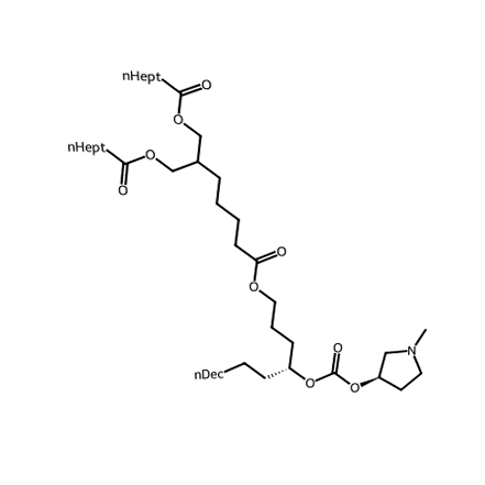 CCCCCCCCCCCC[C@H](CCCOC(=O)CCCCC(COC(=O)CCCCCCC)COC(=O)CCCCCCC)OC(=O)O[C@@H]1CCN(C)C1